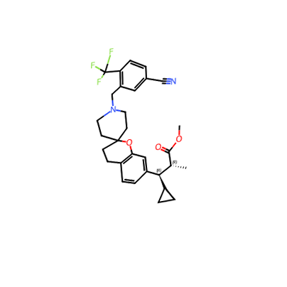 COC(=O)[C@H](C)[C@H](c1ccc2c(c1)OC1(CC2)CCN(Cc2cc(C#N)ccc2C(F)(F)F)CC1)C1CC1